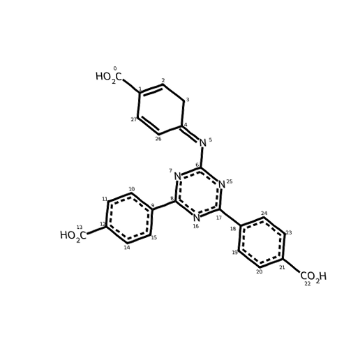 O=C(O)C1=CCC(=Nc2nc(-c3ccc(C(=O)O)cc3)nc(-c3ccc(C(=O)O)cc3)n2)C=C1